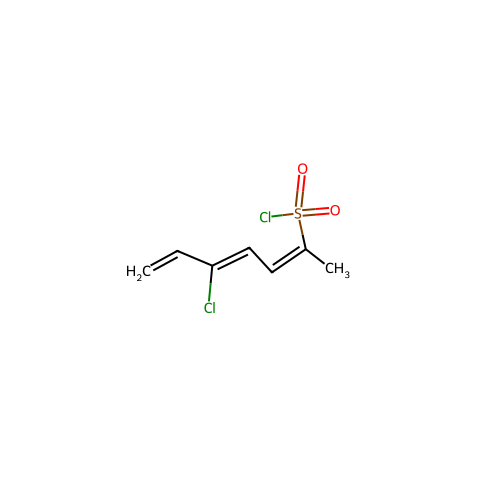 C=CC(Cl)=CC=C(C)S(=O)(=O)Cl